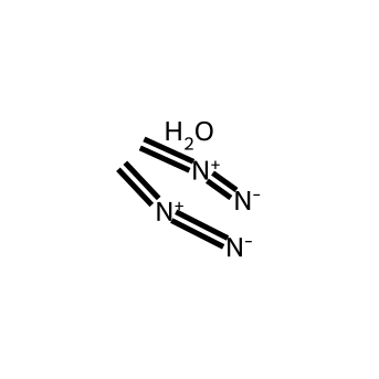 C=[N+]=[N-].C=[N+]=[N-].O